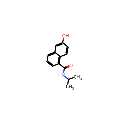 CC(C)NC(=O)c1cccc2cc(O)ccc12